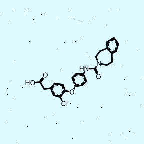 O=C(O)Cc1ccc(Oc2ccc(NC(=O)N3CCc4ccccc4CC3)cc2)c(Cl)c1